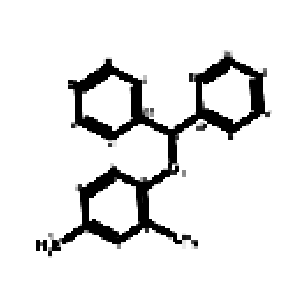 Cc1cc(N)ccc1OC(c1ccccc1)c1ccccc1